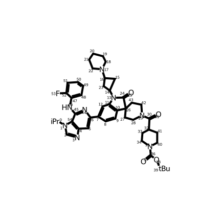 CC(C)n1cnc2cc(-c3ccc4c(c3)N(C3CC(N5CCCCC5)C3)C(=O)C43CCN(C(=O)C4CCN(C(=O)OC(C)(C)C)CC4)CC3)nc(Nc3ccccc3F)c21